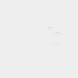 COc1cc(C(=O)c2ccc(Br)cc2F)cc(OC)c1OC